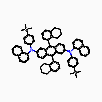 C[Si](C)(C)c1ccc(N(c2ccc3c(-c4cccc5c4CCCC5)c4cc(N(c5ccc([Si](C)(C)C)cc5)c5cccc6ccccc56)ccc4c(-c4cccc5c4CCCC5)c3c2)c2cccc3ccccc23)cc1